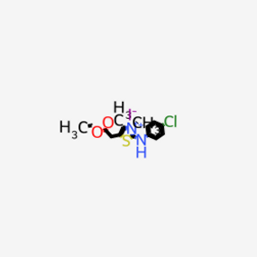 CCOC(=O)Cc1sc(Nc2ccc(Cl)cc2)[n+](C)c1C.[I-]